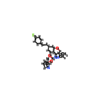 CC1(C)COc2cc(/C=C/c3ccc(F)cc3)ccc2C1NC(=O)O[C@H]1CN2CCC1CC2